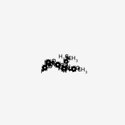 COc1ccc(Cn2nc(N3CC[C@@H](N(C)C)C3)c3c(Oc4ccc(NC(=O)c5ccnn(-c6ccc(F)cc6)c5=O)cc4F)ccnc32)cc1